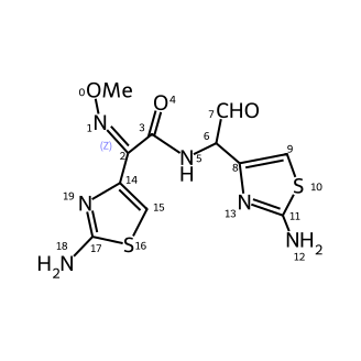 CO/N=C(\C(=O)NC(C=O)c1csc(N)n1)c1csc(N)n1